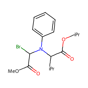 COC(=O)C(Br)N(c1ccccc1)C(C(=O)OC(C)C)C(C)C